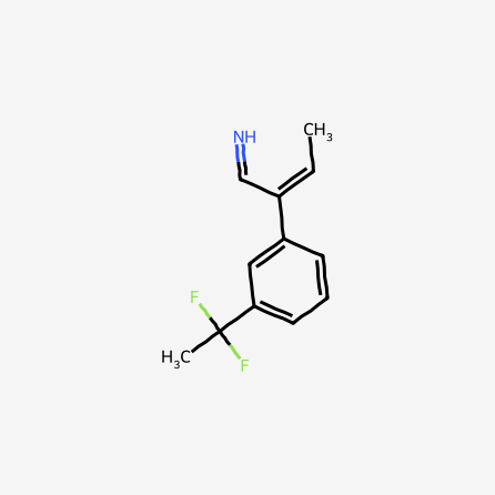 C/C=C(\C=N)c1cccc(C(C)(F)F)c1